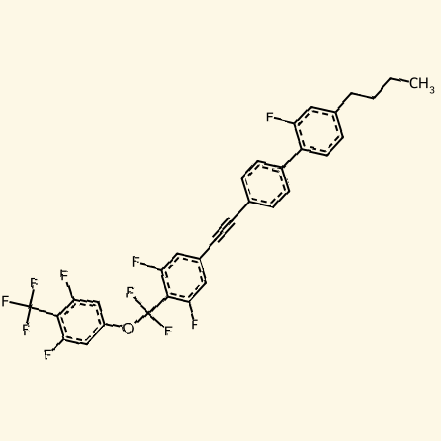 CCCCc1ccc(-c2ccc(C#Cc3cc(F)c(C(F)(F)Oc4cc(F)c(C(F)(F)F)c(F)c4)c(F)c3)cc2)c(F)c1